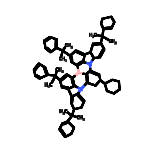 CC(C)(C1=CC2c3cc(C(C)(C)c4ccccc4)cc4c3N(C3=CC(C5CCCCC5)CC5=C3B4c3cc(C(C)(C)c4ccccc4)cc4c6c(n5c34)=CCC(C(C)(C)C3=CC=CCC3)C=6)C2C=C1)C1=CCCCC1